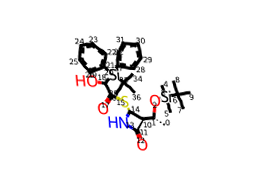 C[C@@H](O[Si](C)(C)C(C)(C)C)[C@H]1C(=O)N[C@H]1SC(=O)C(O)[Si](c1ccccc1)(c1ccccc1)C(C)(C)C